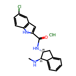 CN[C@@H]1c2ccccc2C[C@H]1NC(=O)c1cc2cc(Cl)ccc2[nH]1.Cl